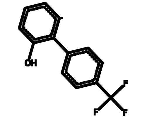 Oc1ccc[c]c1-c1ccc(C(F)(F)F)cc1